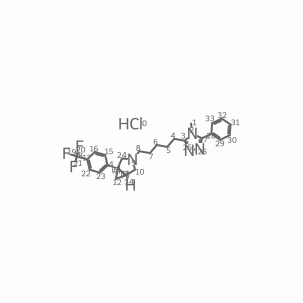 Cl.Cn1c(CCCCCN2C[C@@H]3C[C@]3(c3ccc(C(F)(F)F)cc3)C2)nnc1-c1ccccc1